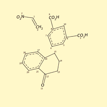 C=C[N+](=O)[O-].O=C(O)c1cccc(C(=O)O)c1.O=C1CCCc2ccccc21